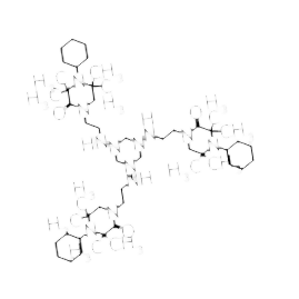 CC1(C)CN(CCNN2CN(NCCN3CC(C)(C)N(C4CCCCC4)C(C)(C)C3=O)CN(NCCN3CC(C)(C)N(C4CCCCC4)C(C)(C)C3=O)C2)C(=O)C(C)(C)N1C1CCCCC1